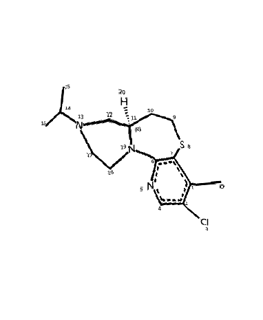 Cc1c(Cl)cnc2c1SCC[C@@H]1CN(C(C)C)CCN21